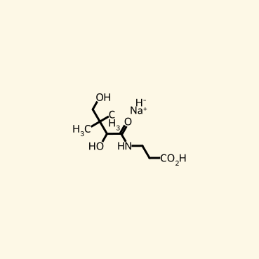 CC(C)(CO)C(O)C(=O)NCCC(=O)O.[H-].[Na+]